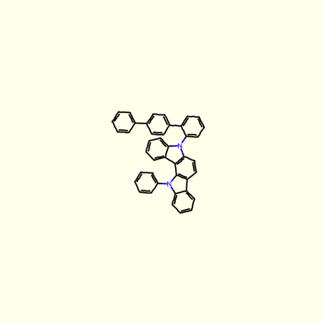 c1ccc(-c2ccc(-c3ccccc3-n3c4ccccc4c4c3ccc3c5ccccc5n(-c5ccccc5)c34)cc2)cc1